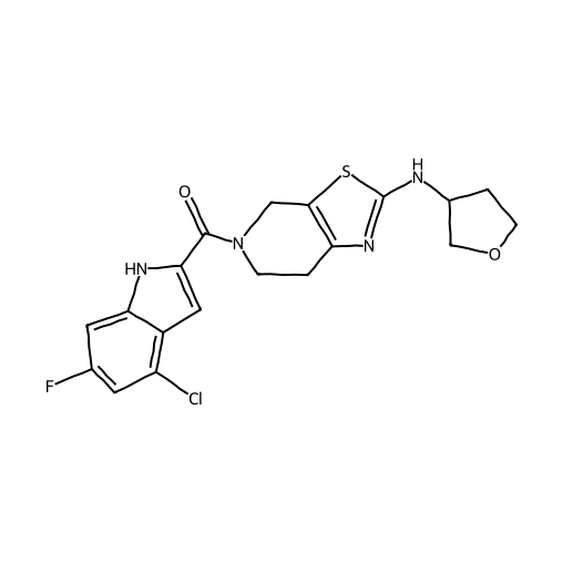 O=C(c1cc2c(Cl)cc(F)cc2[nH]1)N1CCc2nc(NC3CCOC3)sc2C1